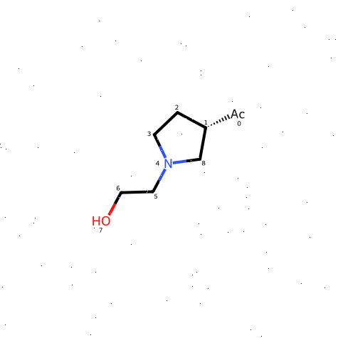 CC(=O)[C@H]1CCN(CCO)C1